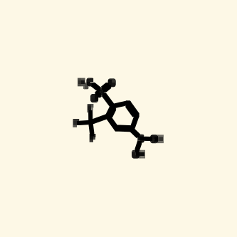 CS(=O)(=O)c1ccc(B(O)O)cc1C(F)(F)F